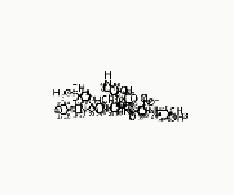 CC(C)Oc1ccccc1[C@@H]1CN(C2CCOCC2)CCN1[C@H]1C[C@@]2(CCN(c3ccc(C(=O)NS(=O)(=O)c4ccc(NC[C@H]5CC[C@](C)(O)CC5)c([N+](=O)[O-])c4)c(N4c5cc6cc[nH]c6nc5O[C@H]5COCC[C@@H]54)c3)[C@@H](C)C2)[C@@H]1C